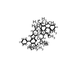 COc1c(C(C)(C)C)cc2c(c1-c1ccccc1)C=C(CC(C)C)[CH]2[Zr+2][CH]1c2cc(C(C)(C)C)c(OC)c(-c3ccccc3)c2C(=[Si](C)C)C1CC(C)C.[Cl-].[Cl-]